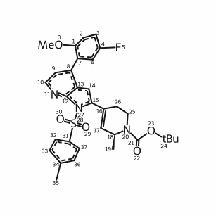 COc1ccc(F)cc1-c1ccnc2c1cc(C1=C[C@H](C)N(C(=O)OC(C)(C)C)CC1)n2S(=O)(=O)c1ccc(C)cc1